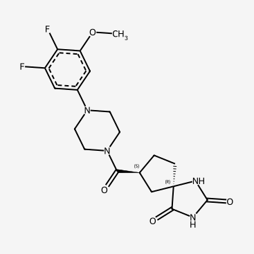 COc1cc(N2CCN(C(=O)[C@H]3CC[C@]4(C3)NC(=O)NC4=O)CC2)cc(F)c1F